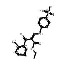 CCOC(=O)C(=CNc1ccc(S(C)(=O)=O)cc1)C(=O)c1ccccc1Cl